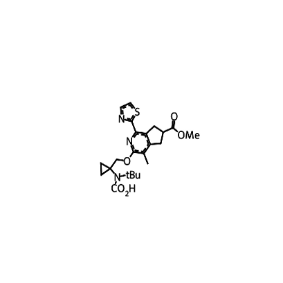 COC(=O)C1Cc2c(-c3nccs3)nc(OCC3(N(C(=O)O)C(C)(C)C)CC3)c(C)c2C1